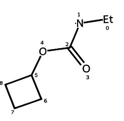 CC[N]C(=O)OC1CCC1